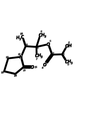 CC(O)C(=O)OC(C)(C)C(C)N1CCCC1=O